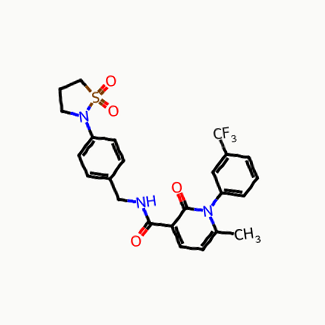 Cc1ccc(C(=O)NCc2ccc(N3CCCS3(=O)=O)cc2)c(=O)n1-c1cccc(C(F)(F)F)c1